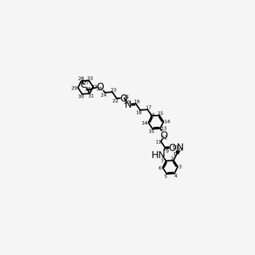 N#Cc1ccccc1NC(=O)COc1ccc(CCC=NOCCCOC2CC3CCC2CC3)cc1